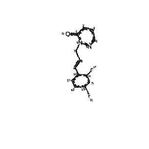 O=c1cccnn1C/C=C/c1ccc(F)cc1F